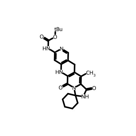 Cc1c2c(c(=O)n3c1C(=O)NC31CCCCC1)Nc1cc(NC(=O)OC(C)(C)C)ncc1C2